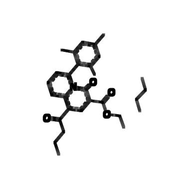 CCCC.CCCC(=O)c1cc(C(=O)OCC)c(=O)n2c(-c3c(C)cc(C)cc3C)cccc12